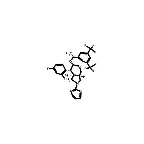 Cc1cc(F)ccc1[C@@H]1[C@@H](O[C@H](C)c2cc(C(F)(F)F)cc(C(F)(F)F)c2)OC[C@@H]2CN(c3ncccn3)C[C@H]21